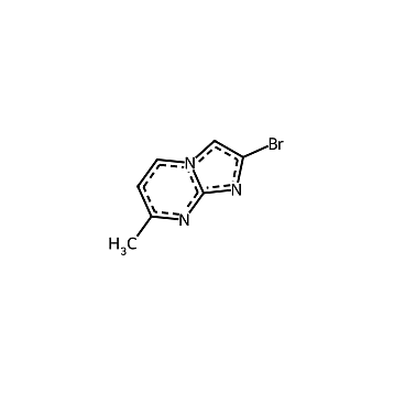 Cc1ccn2cc(Br)nc2n1